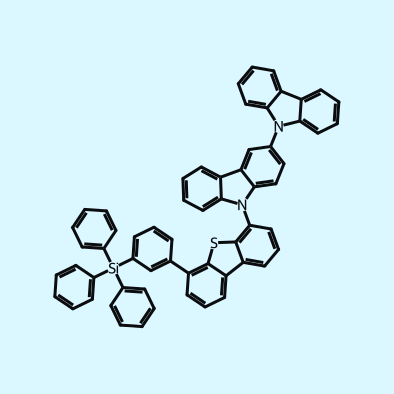 c1ccc([Si](c2ccccc2)(c2ccccc2)c2cccc(-c3cccc4c3sc3c(-n5c6ccccc6c6cc(-n7c8ccccc8c8ccccc87)ccc65)cccc34)c2)cc1